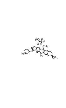 COc1cc2c(cc1Nc1ncc3cnn(C[C@@H]4CCCNC4)c3n1)CN(C)CC2.O=C(O)C(F)(F)F